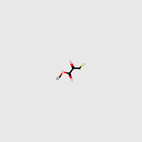 CCOC(=O)C(=O)CS